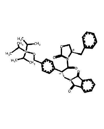 CC(C)[Si](OCc1ccc([C@@H](CN2C(=O)c3ccccc3C2=O)C(=O)N2C(=O)OC[C@H]2Cc2ccccc2)cc1)(C(C)C)C(C)C